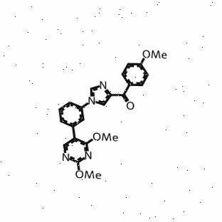 COc1ccc(C(=O)c2cn(-c3cccc(-c4cnc(OC)nc4OC)c3)cn2)cc1